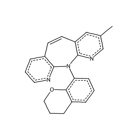 Cc1cnc2c(c1)C=Cc1cccnc1N2c1cccc2c1OCCC2